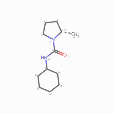 C[C@H]1CCCN1C(=O)NC1CCCCC1